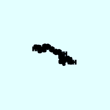 C=CCn1c(=O)c2cnc(Nc3ccc4c(c3)CCN([C@H]3CC[C@H](N5CCc6ccc7c(C8CCC(=O)NC8=O)noc7c6C5)CC3)C4)nc2n1-c1ccc2c(n1)[C@@](O)(CC)CC2